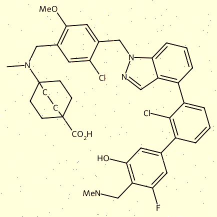 CNCc1c(O)cc(-c2cccc(-c3cccc4c3cnn4Cc3cc(OC)c(CN(C)C45CCC(C(=O)O)(CC4)CC5)cc3Cl)c2Cl)cc1F